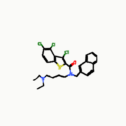 CCN(CC)CCCCN(Cc1ccc2ccccc2c1)C(=O)c1sc2ccc(Cl)c(Cl)c2c1Cl